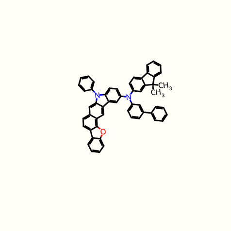 CC1(C)c2ccccc2-c2ccc(N(c3cccc(-c4ccccc4)c3)c3ccc4c(c3)c3cc5c(ccc6c7ccccc7oc56)cc3n4-c3ccccc3)cc21